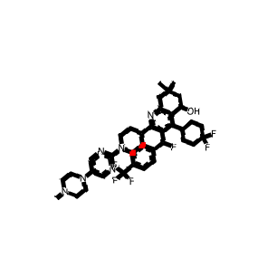 CN1CCN(c2cnc(N3CCC(c4nc5c(c(C6CCC(F)(F)CC6)c4C(F)c4ccc(C(F)(F)F)cc4)C(O)CC(C)(C)C5)CC3)nc2)CC1